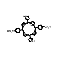 O=C(O)c1ccc(-c2c3nc(c(-c4c[nH]cn4)c4ccc([nH]4)c(-c4ccc(C(=O)O)cc4)c4nc(c(-c5c[nH]cn5)c5ccc2[nH]5)C=C4)C=C3)cc1